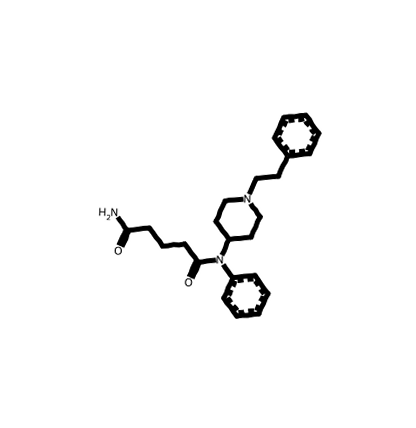 NC(=O)CCCC(=O)N(c1ccccc1)C1CCN(CCc2ccccc2)CC1